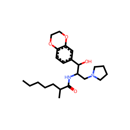 CCCCCC(C)C(=O)NC(CN1CCCC1)C(O)c1ccc2c(c1)OCCO2